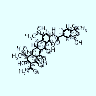 CN(C)c1cc(NC(=O)c2ccc3c(c2)B(O)OC3(C)C)c(O)c2c1C[C@H]1C[C@H]3[C@H](N(C)C)C(O)=C(C(N)=O)C(=O)[C@@]3(O)C(O)=C1C2=O